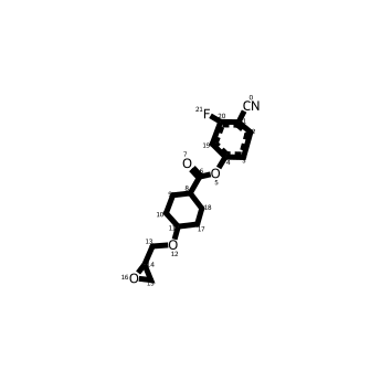 N#Cc1ccc(OC(=O)C2CCC(OCC3CO3)CC2)cc1F